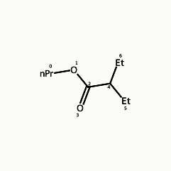 CCCOC(=O)C(CC)CC